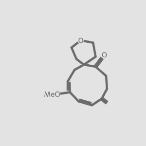 C=C1/C=C\C(OC)=C/CC2(CCOCC2)C(=O)CC1